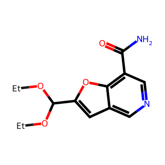 CCOC(OCC)c1cc2cncc(C(N)=O)c2o1